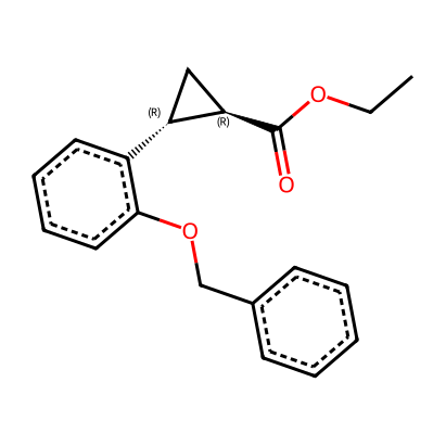 CCOC(=O)[C@@H]1C[C@H]1c1ccccc1OCc1ccccc1